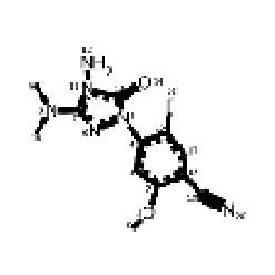 COc1cc(-n2nc(N(C)C)n(N)c2=O)c(F)cc1C#N